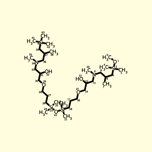 CO[Si](C)(C)CC(C)CN(C)CC(O)COCCC[Si](C)(C)O[Si](C)(C)CCCOCC(O)CN(C)CC(C)C[Si](C)(C)C